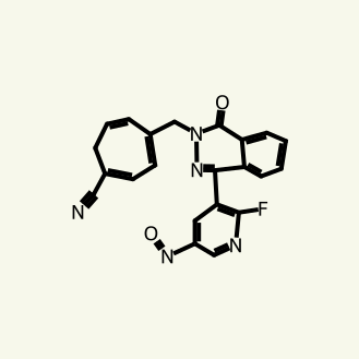 N#CC1=CC=C(Cn2nc(-c3cc(N=O)cnc3F)c3ccccc3c2=O)C=CC1